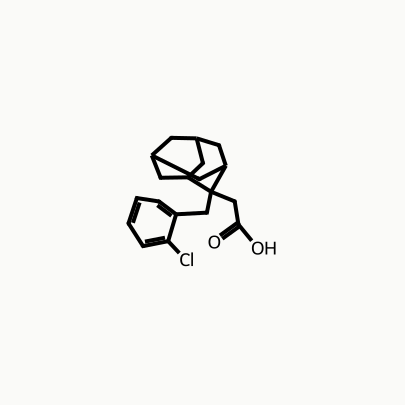 O=C(O)CC1(Cc2ccccc2Cl)C2CC3CC(C2)CC1C3